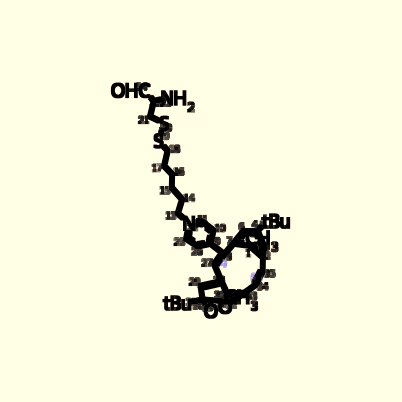 Cc1c2cc(C(C)(C)C)cc1/C(c1cc[n+](CCCCCCSSCC(N)C=O)cc1)=C\C1=CC3(C(C)(C)C)CC(/C=C\2)C1(C)OO3